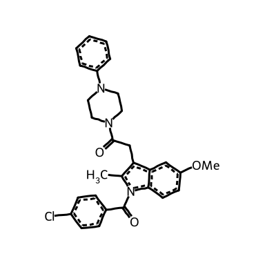 COc1ccc2c(c1)c(CC(=O)N1CCN(c3ccccc3)CC1)c(C)n2C(=O)c1ccc(Cl)cc1